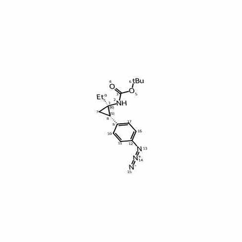 CC[C@@]1(NC(=O)OC(C)(C)C)C[C@H]1c1ccc(N=[N+]=[N-])cc1